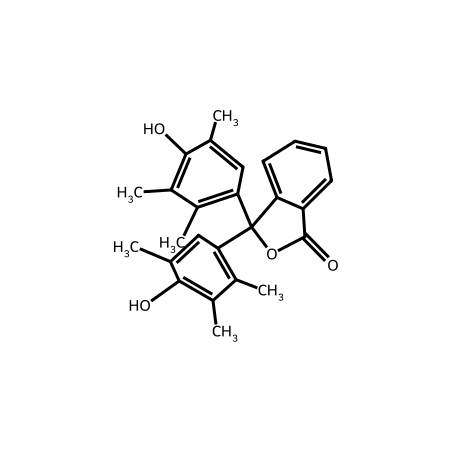 Cc1cc(C2(c3cc(C)c(O)c(C)c3C)OC(=O)c3ccccc32)c(C)c(C)c1O